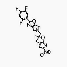 CC1(CN2Cc3nc(-c4cc(F)c(F)cc4F)oc3C2)Cn2cc([N+](=O)[O-])nc2O1